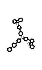 c1ccc(-c2ccc(-c3ccc(N(c4ccc(-c5ccc(-n6c7ccccc7c7ccccc76)cc5)cc4)c4ccc(-c5cccc6c5oc5ccccc56)cc4)cc3)cc2)cc1